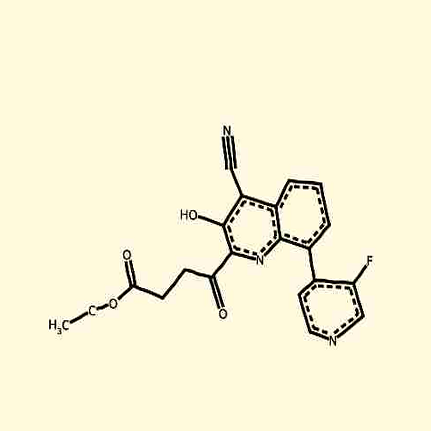 CCOC(=O)CCC(=O)c1nc2c(-c3ccncc3F)cccc2c(C#N)c1O